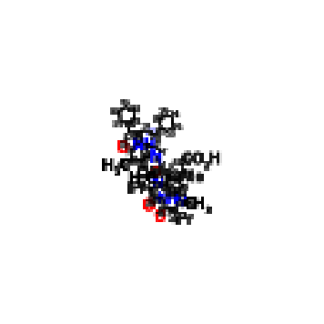 CC[C@H](C)[C@@H]([C@@H](CC(=O)N1CCC[C@H]1[C@H](OC)[C@@H](C)C(=O)N[C@H](/C=C/c1ccccc1)Cc1ccccc1)OC)N(C)[C@H](C(=O)NC(=O)[C@H](C(C)C)N(C)CCCCCC(=O)O)C(C)C